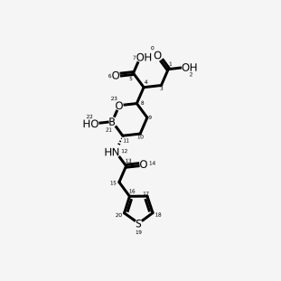 O=C(O)CC(C(=O)O)C1CC[C@H](NC(=O)Cc2ccsc2)B(O)O1